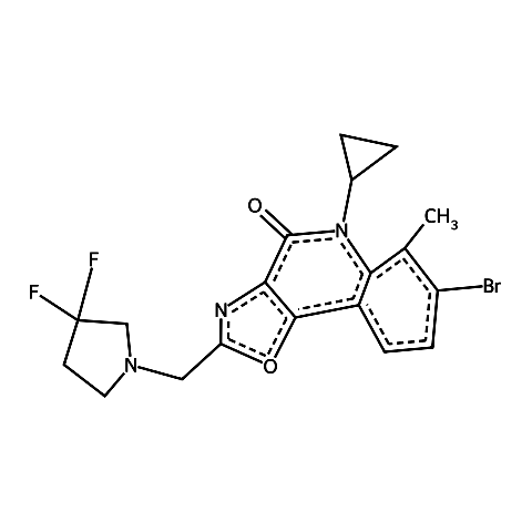 Cc1c(Br)ccc2c3oc(CN4CCC(F)(F)C4)nc3c(=O)n(C3CC3)c12